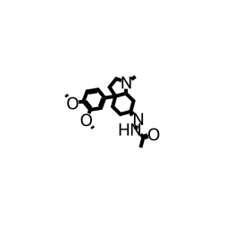 COc1ccc(C23CC/C(=N\NC(C)=O)CC2N(C)CC3)cc1OC